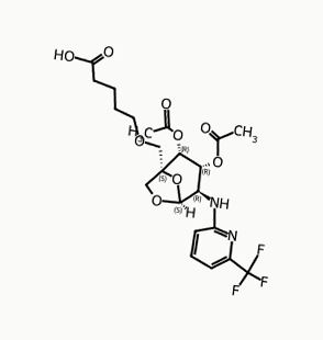 CC(=O)O[C@@H]1[C@@H](Nc2cccc(C(F)(F)F)n2)[C@H]2OC[C@](COCCCCC(=O)O)(O2)[C@@H]1OC(C)=O